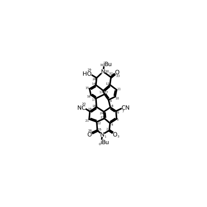 CCC(C)N1C(=O)c2cc(C#N)c3c4ccc5c6c(ccc(c7c(C#N)cc(c2c37)C1=O)c64)C(O)N(C(C)CC)C5=O